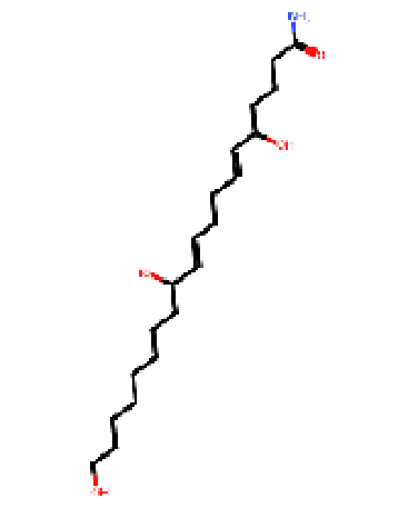 NC(=O)CCCC(O)C=CCCC=CC(O)CCCCCCCCO